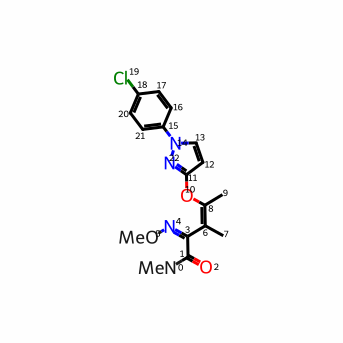 CNC(=O)C(=NOC)C(C)=C(C)Oc1ccn(-c2ccc(Cl)cc2)n1